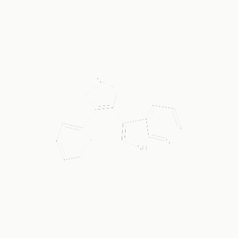 c1ccc(-c2cnoc2-c2c[nH]c3ncccc23)cc1